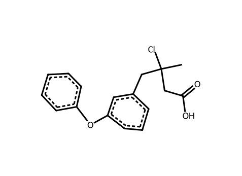 CC(Cl)(CC(=O)O)Cc1cccc(Oc2ccccc2)c1